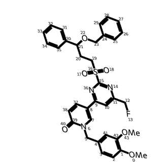 COc1ccc(Cn2cc(-c3cc(CF)nc(S(=O)(=O)CCC(OCc4ccccc4)c4ccccc4)n3)ccc2=O)cc1OC